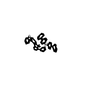 CC1(C)c2ccc3oc4ccccc4c3c2-c2cccc(-c3cccc(N(c4ccc(-c5ccccc5)cc4)c4ccc(-c5ccccc5)cc4)c3)c21